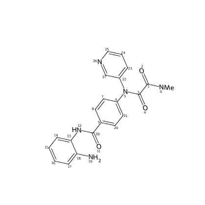 CNC(=O)C(=O)N(c1ccc(C(=O)Nc2ccccc2N)cc1)c1cccnc1